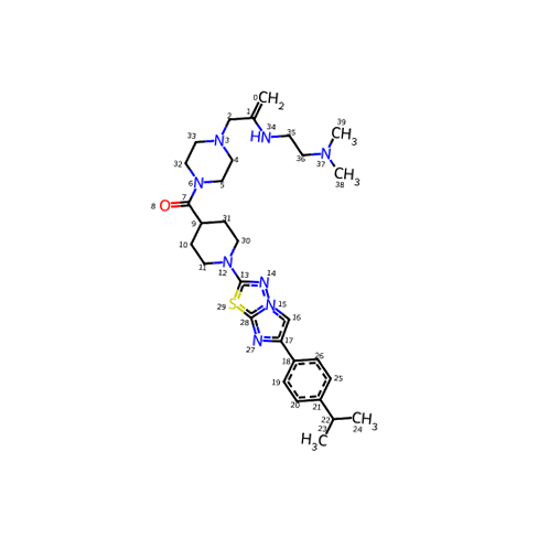 C=C(CN1CCN(C(=O)C2CCN(c3nn4cc(-c5ccc(C(C)C)cc5)nc4s3)CC2)CC1)NCCN(C)C